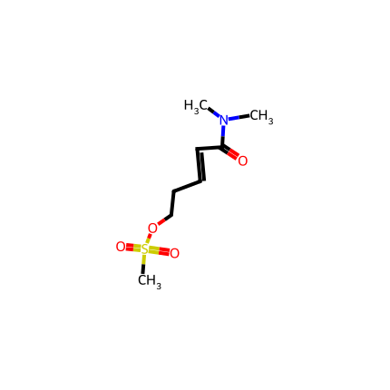 CN(C)C(=O)C=CCCOS(C)(=O)=O